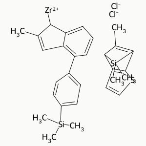 CC1=C2c3sccc3C1[Si]2(C)C.CC1=Cc2c(-c3ccc([Si](C)(C)C)cc3)cccc2[CH]1[Zr+2].[Cl-].[Cl-]